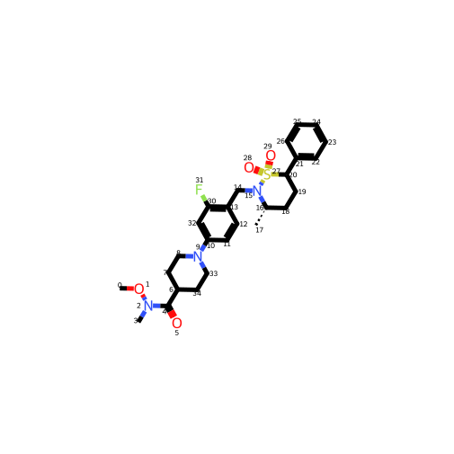 CON(C)C(=O)C1CCN(c2ccc(CN3[C@@H](C)CCC(c4ccccc4)S3(=O)=O)c(F)c2)CC1